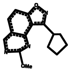 COc1ncc2ccc3onc(C4CCCC4)c3c2n1